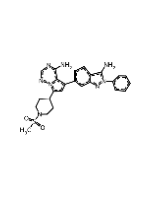 CS(=O)(=O)N1CCC(c2cc(-c3ccc4c(N)n(-c5ccccc5)nc4c3)c3c(N)ncnn23)CC1